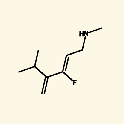 C=C(/C(F)=C/CNC)C(C)C